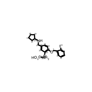 Fc1ccccc1COc1ccc(CNC2CCCC2)cc1Br.NC(=O)O